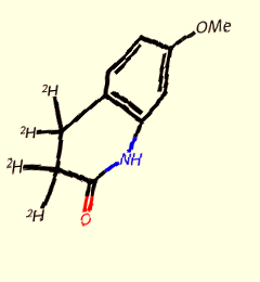 [2H]C1([2H])C(=O)Nc2cc(OC)ccc2C1([2H])[2H]